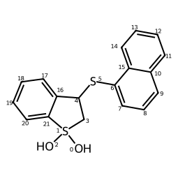 OS1(O)CC(Sc2cccc3ccccc23)c2ccccc21